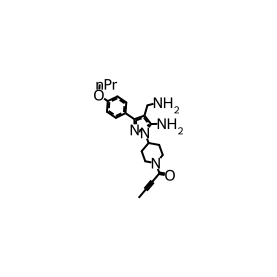 CC#CC(=O)N1CCC(n2nc(-c3ccc(OCCC)cc3)c(CN)c2N)CC1